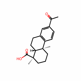 CC(=O)c1ccc2c(c1)CC[C@H]1[C@](C)(C(=O)O)CCC[C@]21C